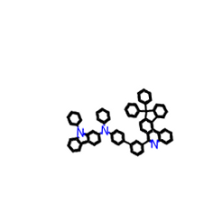 c1ccc(N(c2ccc(-c3cccc(-c4nc5ccccc5c5c6c(ccc45)C(c4ccccc4)(c4ccccc4)c4ccccc4-6)c3)cc2)c2ccc3c4ccccc4n(-c4ccccc4)c3c2)cc1